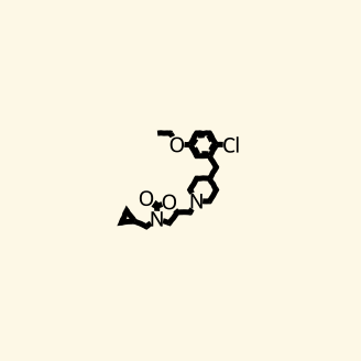 CCOc1ccc(Cl)c(CC2CCN(CC3CN(CC4CC4)C(=O)O3)CC2)c1